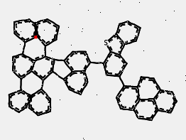 c1ccc(-c2ccc(-c3ccccc3)c3c(-c4ccccc4)c4c(c(-c5ccccc5)c23)-c2cccc3c(-c5cc(-c6ccc7ccc8cccc9ccc6c7c89)cc6c5sc5ccccc56)ccc-4c23)cc1